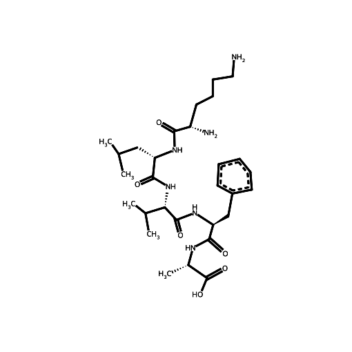 CC(C)C[C@H](NC(=O)[C@@H](N)CCCCN)C(=O)N[C@H](C(=O)N[C@@H](Cc1ccccc1)C(=O)N[C@@H](C)C(=O)O)C(C)C